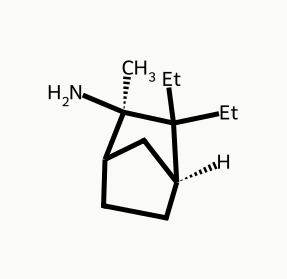 CCC1(CC)[C@H]2CCC(C2)[C@@]1(C)N